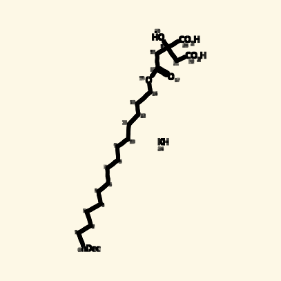 CCCCCCCCCCCCCCCCCCCCCCCCOC(=O)CC(O)(CC(=O)O)C(=O)O.[KH]